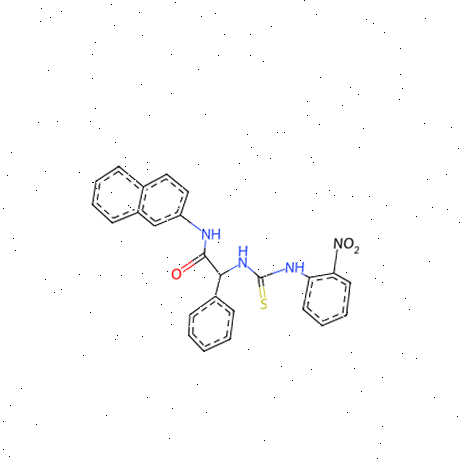 O=C(Nc1ccc2ccccc2c1)C(NC(=S)Nc1ccccc1[N+](=O)[O-])c1ccccc1